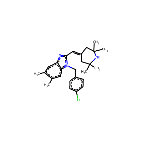 Cc1cc2nc(C=C3CC(C)(C)NC(C)(C)C3)n(Cc3ccc(Cl)cc3)c2cc1C